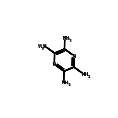 Nc1nc(N)c(N)nc1N